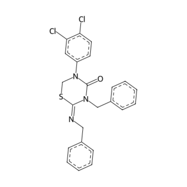 O=C1N(Cc2ccccc2)/C(=N\Cc2ccccc2)SCN1c1ccc(Cl)c(Cl)c1